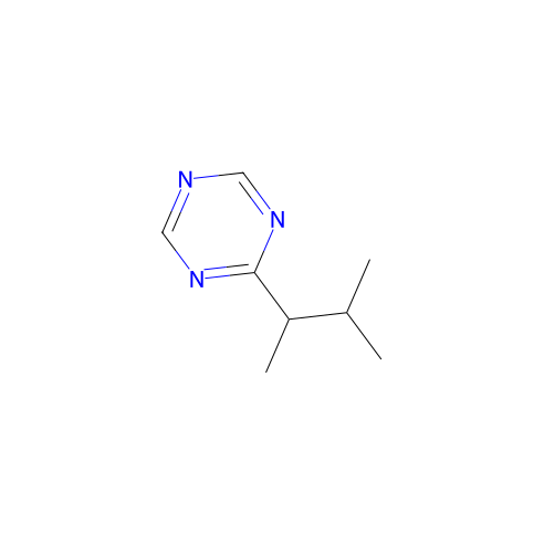 CC(C)C(C)c1ncncn1